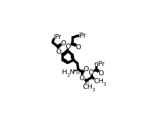 CCCC(=O)OC(C)[C@H](C)OC(=O)[C@@H](N)Cc1ccc(OC(=O)CC(C)C)c(OC(=O)CC(C)C)c1